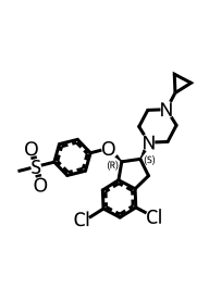 CS(=O)(=O)c1ccc(O[C@@H]2c3cc(Cl)cc(Cl)c3C[C@@H]2N2CCN(C3CC3)CC2)cc1